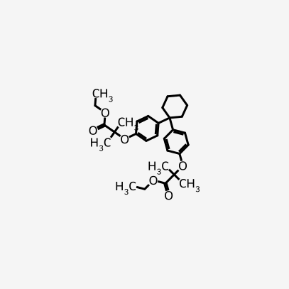 CCOC(=O)C(C)(C)Oc1ccc(C2(c3ccc(OC(C)(C)C(=O)OCC)cc3)CCCCC2)cc1